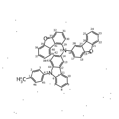 Cc1ccc(-n2c3ccccc3c3cc(N(c4ccc5oc6ccccc6c5c4)c4cccc5oc6ccccc6c45)ccc32)cc1